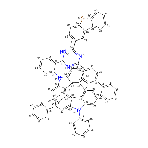 c1ccc(-c2ccc(C3=NC(c4ccccc4-n4c5ccccc5c5c(-c6cccc7c6c6ccc(-c8ccccc8)cc6n7-c6ccccc6)cccc54)NC(c4ccc5sc6ccccc6c5c4)=N3)cc2)cc1